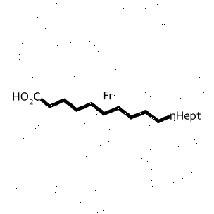 CCCCCCCCCCCCCCCCC(=O)O.[Fr]